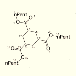 CCCCCOC(=O)C1CC(C(=O)OCCCCC)CC(C(=O)OCCCCC)C1